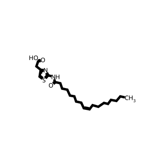 CCCCCCCC/C=C\CCCCCCCC(=O)Nc1nc(CC(=O)O)cs1